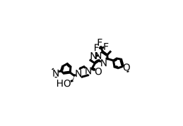 COc1ccc(-c2nc3c(C(=O)N4CCN([C@H](CO)c5cccc(N(C)C)c5)CC4)cnn3c(C(F)(F)F)c2C)cc1